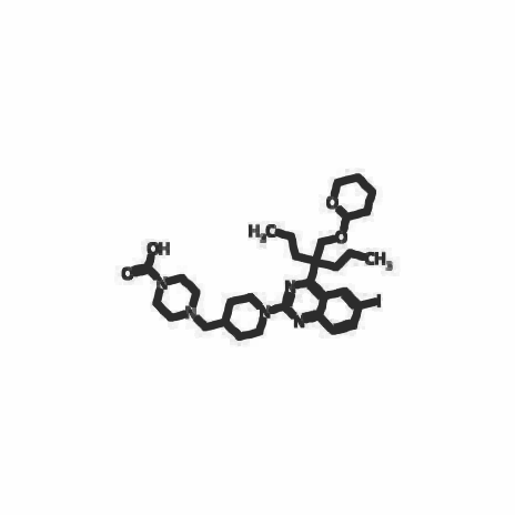 CCCC(CCC)(COC1CCCCO1)c1nc(N2CCC(CN3CCN(C(=O)O)CC3)CC2)nc2ccc(I)cc12